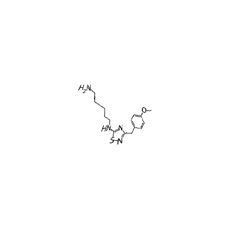 COc1ccc(Cc2nsc(NCCCCCN)n2)cc1